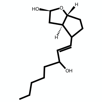 CCCCCC(O)C=CC1CC[C@H]2O[C@H](O)C[C@H]12